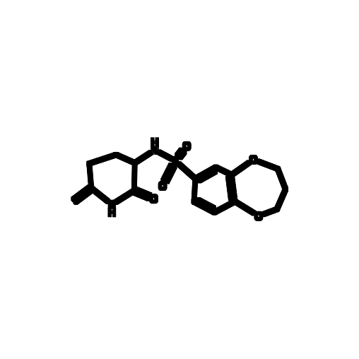 C=C1CCC(NS(=O)(=O)c2ccc3c(c2)OCCCO3)C(=O)N1